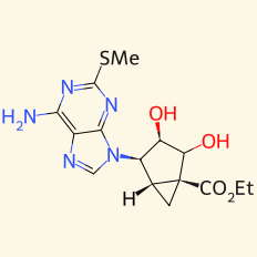 CCOC(=O)[C@@]12C[C@@H]1[C@@H](n1cnc3c(N)nc(SC)nc31)[C@@H](O)C2O